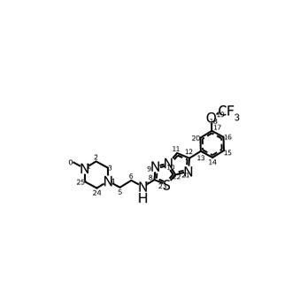 CN1CCN(CCNc2nn3cc(-c4cccc(OC(F)(F)F)c4)nc3s2)CC1